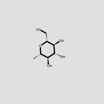 C[C@@H]1O[C@H](CO)[C@@H](O)[C@H](O)[C@H]1O